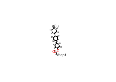 CCCCCCCC(=O)Oc1ccc(-c2ccc(C3=CCC(CCCC)CC3)cc2)cc1